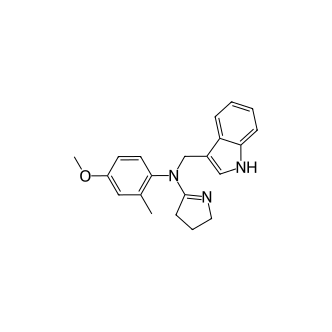 COc1ccc(N(Cc2c[nH]c3ccccc23)C2=NCCC2)c(C)c1